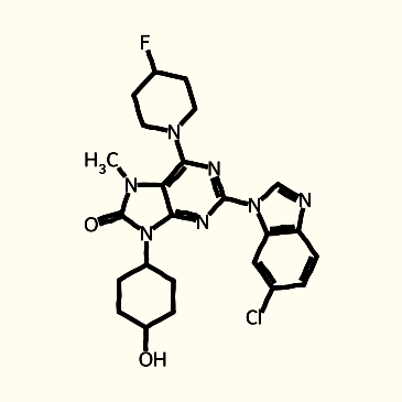 Cn1c(=O)n(C2CCC(O)CC2)c2nc(-n3cnc4ccc(Cl)cc43)nc(N3CCC(F)CC3)c21